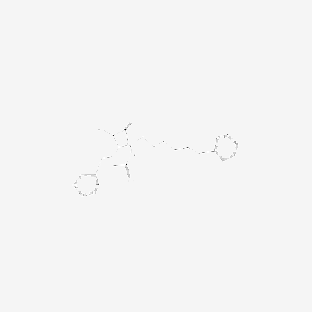 CC(=O)N[N+]1(CCCCCCc2ccccc2)C(=O)C(Br)C1SCc1ccccc1